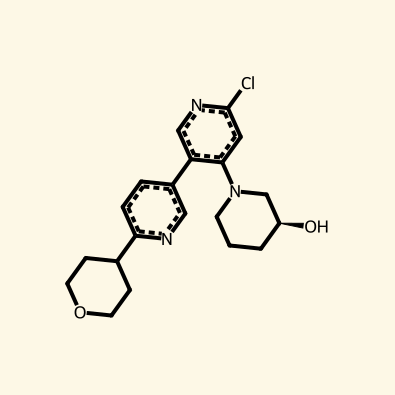 O[C@H]1CCCN(c2cc(Cl)ncc2-c2ccc(C3CCOCC3)nc2)C1